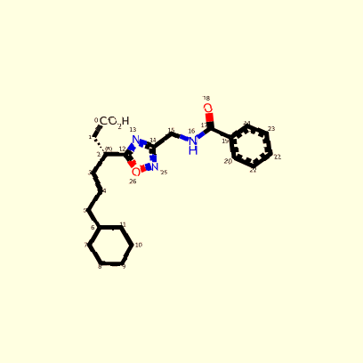 O=C(O)C[C@@H](CCCC1CCCCC1)c1nc(CNC(=O)c2ccccc2)no1